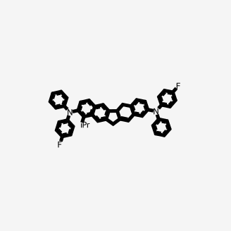 CC(C)c1c(N(c2ccccc2)c2ccc(F)cc2)ccc2cc3c(cc12)CC1=Cc2cc(N(c4ccccc4)c4ccc(F)cc4)ccc2CC13